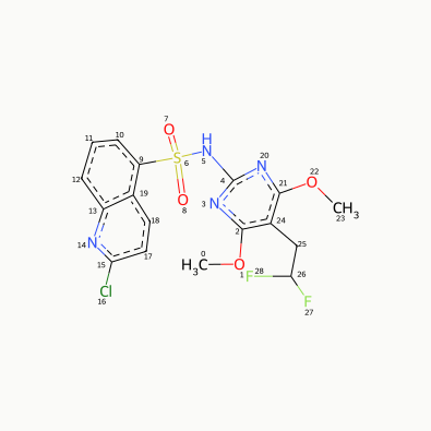 COc1nc(NS(=O)(=O)c2cccc3nc(Cl)ccc23)nc(OC)c1CC(F)F